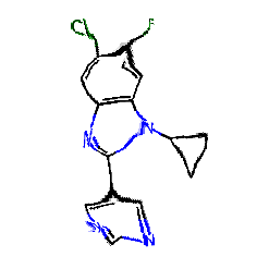 Fc1cc2c(cc1Cl)nc(-c1cncnc1)n2C1CC1